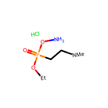 CCOP(=O)(CCNC)ON.Cl